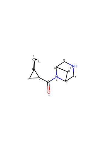 C=C1CC1C(=O)N1C2CNCC1C2